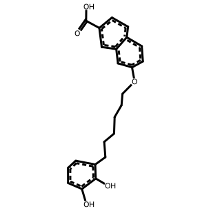 O=C(O)c1ccc2ccc(OCCCCCCc3cccc(O)c3O)cc2c1